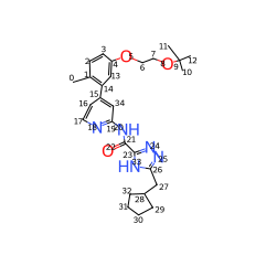 Cc1ccc(OCCOC(C)(C)C)cc1-c1ccnc(NC(=O)c2nnc(CC3CCCC3)[nH]2)c1